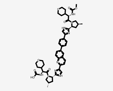 COC(=O)N[C@H](C(=O)N1C[C@@H](C)C[C@H]1c1nc(-c2ccc(-c3ccc4nc(-c5c[nH]c([C@@H]6C[C@H](C)CN6C(=O)[C@@H](NC(=O)O)C6CCOCC6)n5)ccc4c3)cc2)c[nH]1)C1CCOCC1